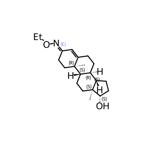 CCO/N=C1/C=C2CC[C@H]3[C@@H]4CC[C@H](O)[C@@]4(C)CC[C@@H]3[C@@]2(C)CC1